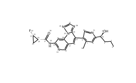 CCC[C@H](O)c1cc(C)c(-c2cc3cnc(NC(=O)[C@@H]4C[C@@H]4F)cc3n3ncnc23)cn1